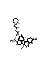 CC1(c2ccc(O)cc2)CSc2cc(O)ccc2C1c1ccc(OCCCCN2CCCCC2)cc1.Cl